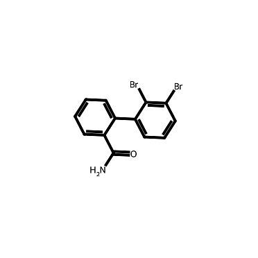 NC(=O)c1ccccc1-c1cccc(Br)c1Br